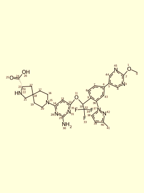 COc1ncc(-c2ccc(C(Oc3cc(N4CCC5(CC4)CN[C@H](C(=O)O)C5)nc(N)n3)C(F)(F)F)c(-n3ccc(C)n3)c2)cn1